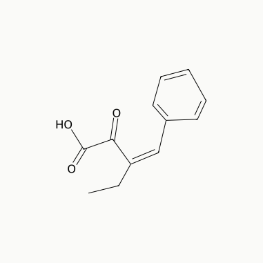 CCC(=Cc1ccccc1)C(=O)C(=O)O